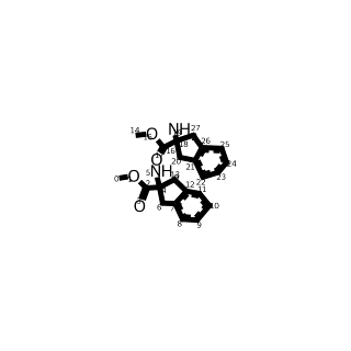 COC(=O)C1(N)Cc2ccccc2C1.COC(=O)C1(N)Cc2ccccc2C1